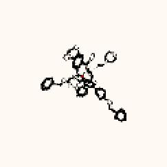 Cc1c(C(=O)N(c2ccccc2)c2ccc(OCc3ccccc3)cc2)cc(-c2cc3c(cc2C(=O)N2Cc4ccccc4C[C@H]2CCN2CCOCC2)OCO3)n1CCOCc1ccccc1